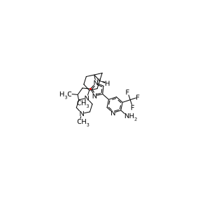 CC(C)Cc1nc(-c2cnc(N)c(C(F)(F)F)c2)cn1C12CCC(N3CCN(C)CC3)C[C@H]1C2